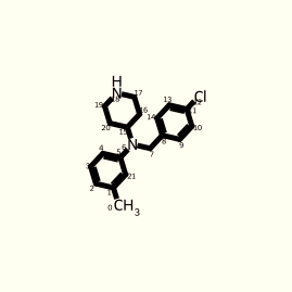 Cc1cccc(N(Cc2ccc(Cl)cc2)C2CCNCC2)c1